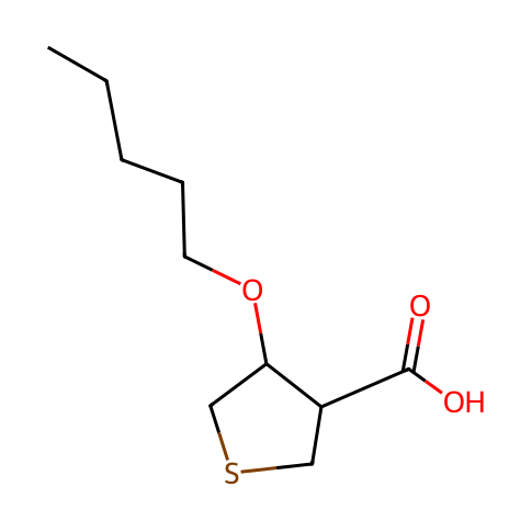 CCCCCOC1CSCC1C(=O)O